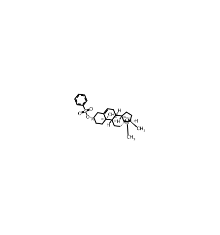 C[C@H]1[C@H]2CC[C@H]3[C@@H]4CC=C5C[C@@H](OS(=O)(=O)c6ccccc6)CC[C@]5(C)[C@H]4CC[C@]23CN1C